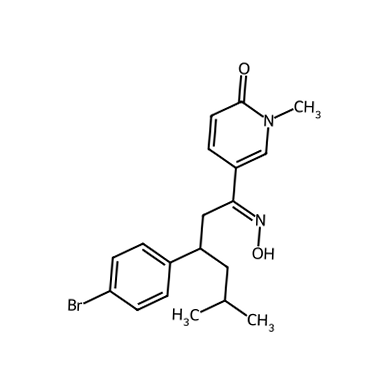 CC(C)CC(C/C(=N\O)c1ccc(=O)n(C)c1)c1ccc(Br)cc1